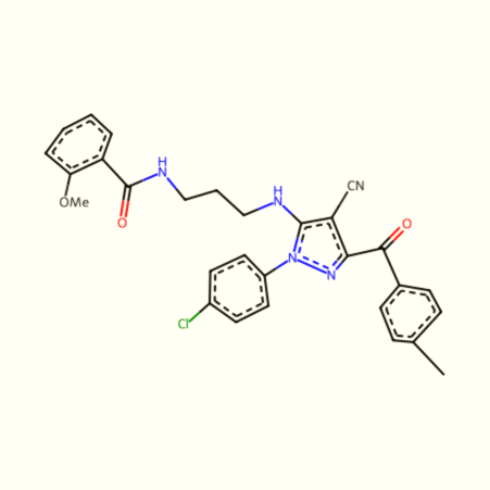 COc1ccccc1C(=O)NCCCNc1c(C#N)c(C(=O)c2ccc(C)cc2)nn1-c1ccc(Cl)cc1